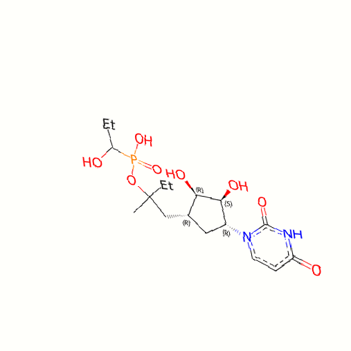 CCC(O)P(=O)(O)OC(C)(CC)C[C@H]1C[C@@H](n2ccc(=O)[nH]c2=O)[C@H](O)[C@@H]1O